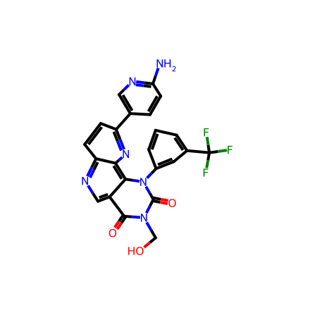 Nc1ccc(-c2ccc3ncc4c(=O)n(CO)c(=O)n(-c5cccc(C(F)(F)F)c5)c4c3n2)cn1